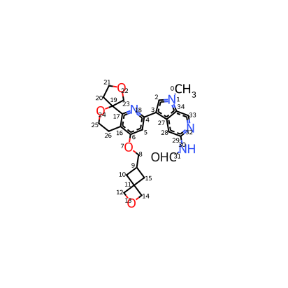 Cn1cc(-c2cc(OCC3CC4(COC4)C3)c3c(n2)C2(CCOC2)OCC3)c2cc(NC=O)ncc21